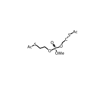 COP(=O)(OCCSC(C)=O)OCCSC(C)=O